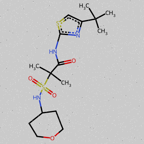 CC(C)(C)c1csc(NC(=O)C(C)(C)S(=O)(=O)NC2CCOCC2)n1